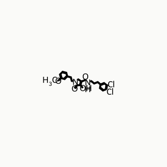 COc1cccc(CCN2CC(C(=O)NCCCc3ccc(Cl)c(Cl)c3)=C(O)C2=O)c1